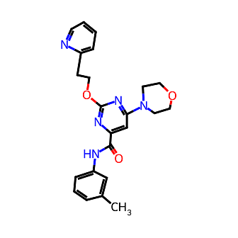 Cc1cccc(NC(=O)c2cc(N3CCOCC3)nc(OCCc3ccccn3)n2)c1